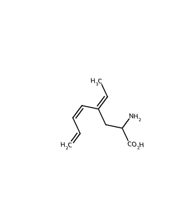 C=C/C=C\C(=C/C)CC(N)C(=O)O